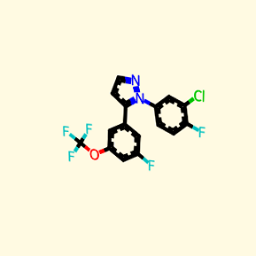 Fc1cc(OC(F)(F)F)cc(-c2ccnn2-c2ccc(F)c(Cl)c2)c1